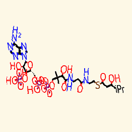 CC(C)C(O)CC(=O)SCCNC(=O)CCNC(=O)C(O)C(C)(C)COP(=O)(O)OP(=O)(O)OC[C@H]1O[C@@H](n2cnc3c(N)ncnc32)[C@H](O)[C@@H]1OP(=O)(O)O